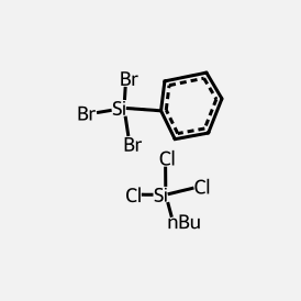 Br[Si](Br)(Br)c1ccccc1.CCCC[Si](Cl)(Cl)Cl